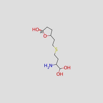 NC(CCSCCC1CC[C@H](O)O1)C(O)O